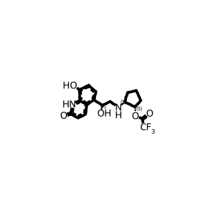 O=C(O[C@H]1CCC[C@@H]1NC[C@H](O)c1ccc(O)c2[nH]c(=O)ccc12)C(F)(F)F